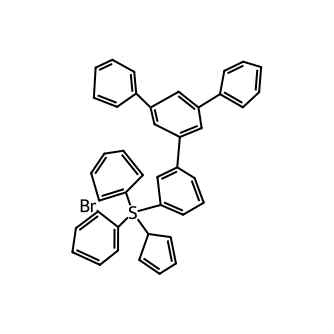 Brc1ccccc1S(c1ccccc1)(c1cccc(-c2cc(-c3ccccc3)cc(-c3ccccc3)c2)c1)C1C=CC=C1